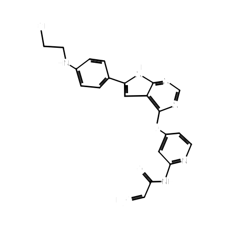 C=CC(=O)Nc1cc(Oc2ncnc3[nH]c(-c4ccc(NCCO)cc4)cc23)ccn1